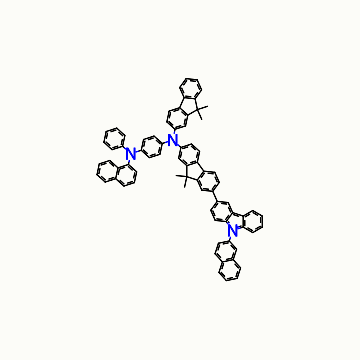 CC1(C)c2ccccc2-c2ccc(N(c3ccc(N(c4ccccc4)c4cccc5ccccc45)cc3)c3ccc4c(c3)C(C)(C)c3cc(-c5ccc6c(c5)c5ccccc5n6-c5ccc6ccccc6c5)ccc3-4)cc21